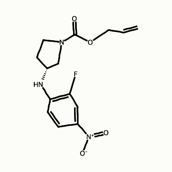 C=CCOC(=O)N1CC[C@@H](Nc2ccc([N+](=O)[O-])cc2F)C1